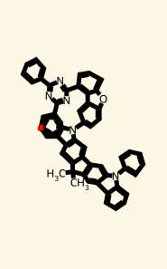 CC1(C)c2cc3c4ccccc4n(-c4ccccc4)c3cc2-c2cc3c(cc21)c1ccccc1n3-c1ccc2oc3cccc(-c4nc(-c5ccccc5)nc(-c5ccccc5)n4)c3c2c1